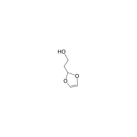 OCCC1OC=CO1